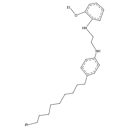 CCOc1ccccc1NCCNc1ccc(CCCCCCCCCC(C)C)cc1